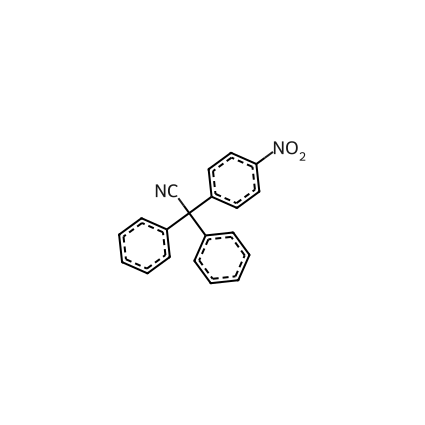 N#CC(c1ccccc1)(c1ccccc1)c1ccc([N+](=O)[O-])cc1